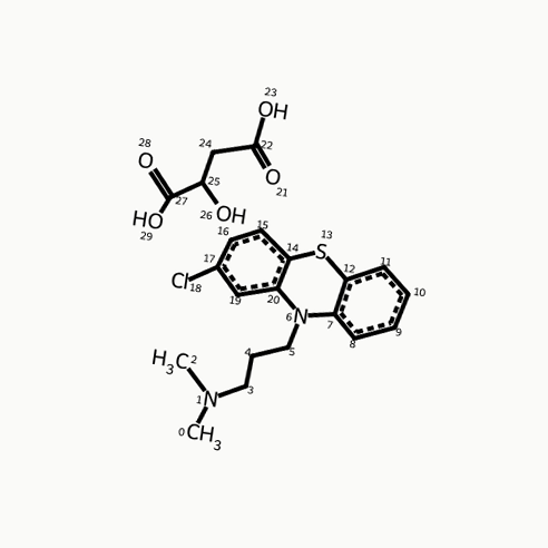 CN(C)CCCN1c2ccccc2Sc2ccc(Cl)cc21.O=C(O)CC(O)C(=O)O